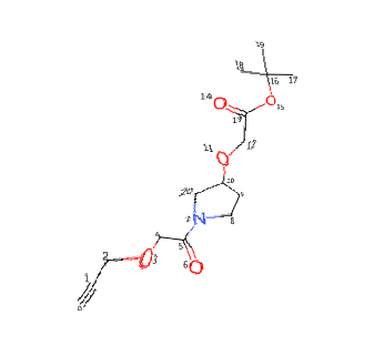 C#CCOCC(=O)N1CCC(OCC(=O)OC(C)(C)C)C1